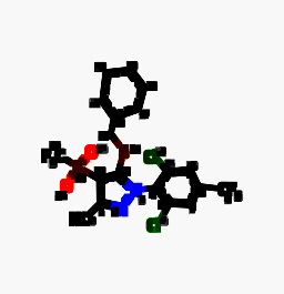 N#Cc1nn(-c2c(Cl)cc(C(F)(F)F)cc2Cl)c(SCc2ccccc2)c1S(=O)(=O)C(F)(F)F